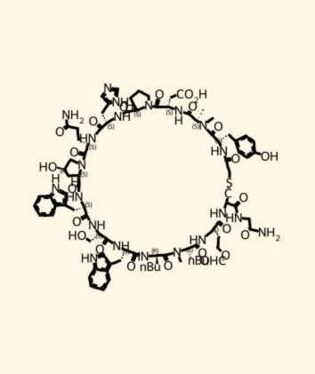 CCCC[C@H]1NC(=O)[C@H](Cc2c[nH]c3ccccc23)NC(=O)[C@H](CO)NC(=O)[C@H](Cc2c[nH]c3ccccc23)NC(=O)[C@@H]2C[C@@H](O)CN2C(=O)[C@H](CCC(N)=O)NC(=O)[C@H](Cc2cnc[nH]2)NC(=O)[C@@H]2CCCN2C(=O)[C@H](CC(=O)O)NC(=O)[C@H](C)N(C)C(=O)[C@H](Cc2ccc(O)cc2)NC(=O)CSCC(C(=O)NCC(N)=O)NC(=O)[C@H](CCOC=O)NC(=O)[C@H](CCCC)N(C)C1=O